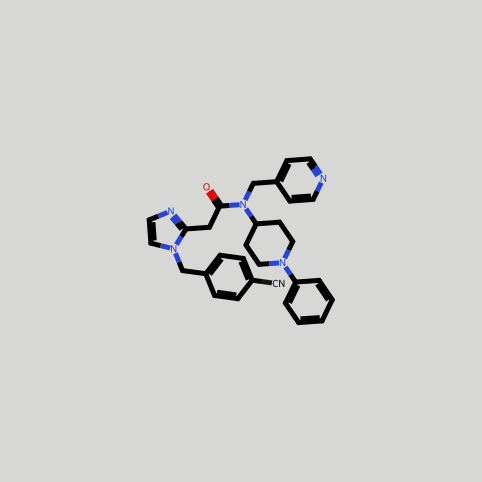 N#Cc1ccc(Cn2ccnc2CC(=O)N(Cc2ccncc2)C2CCN(c3ccccc3)CC2)cc1